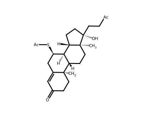 CC(=O)CC[C@]1(O)CC[C@H]2[C@@H]3[C@H](SC(C)=O)CC4=CC(=O)CC[C@]4(C)[C@H]3CC[C@@]21C